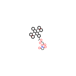 CC(OC(=O)CC(=O)ON1C(=O)CCC1=O)c1ccc2c(-c3ccccc3)c3c(-c4ccccc4)c4ccccc4c(-c4ccccc4)c3c(-c3ccccc3)c2c1